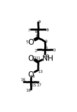 CC(C)(CC(=O)C(C)(C)C)NC(=O)COC(C)(C)C